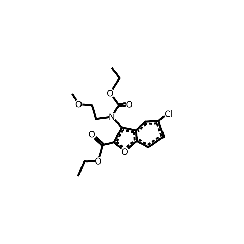 CCOC(=O)c1oc2ccc(Cl)cc2c1N(CCOC)C(=O)OCC